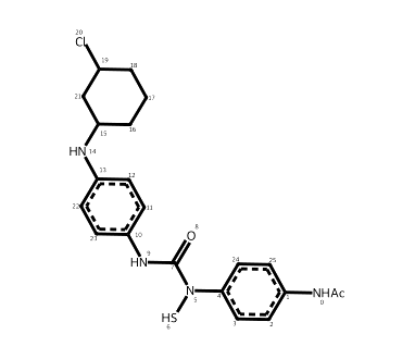 CC(=O)Nc1ccc(N(S)C(=O)Nc2ccc(NC3CCCC(Cl)C3)cc2)cc1